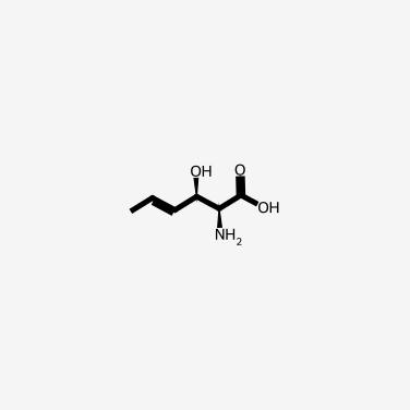 C/C=C/[C@@H](O)[C@H](N)C(=O)O